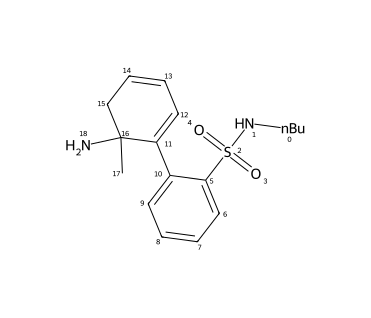 CCCCNS(=O)(=O)c1ccccc1C1=CC=CCC1(C)N